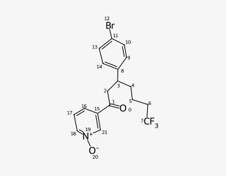 O=C(CC(CCCC(F)(F)F)c1ccc(Br)cc1)c1ccc[n+]([O-])c1